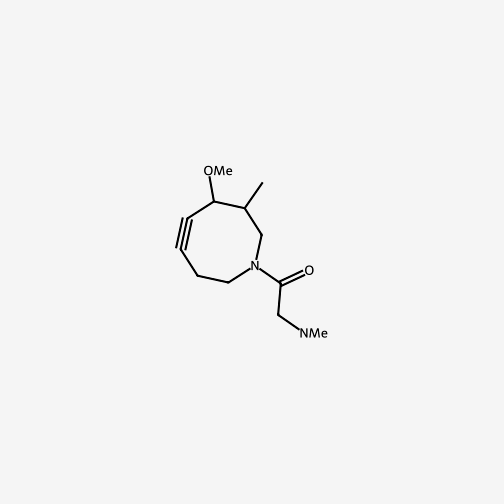 CNCC(=O)N1CCC#CC(OC)C(C)C1